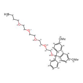 BCCCOCCOCCOCCOCCOC(c1ccccc1)(c1ccc(OC)cc1)c1ccc(OC)cc1